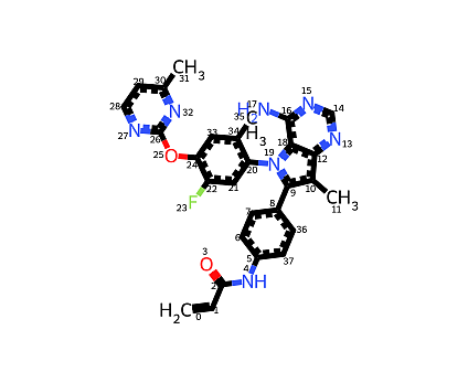 C=CC(=O)Nc1ccc(-c2c(C)c3ncnc(N)c3n2-c2cc(F)c(Oc3nccc(C)n3)cc2C)cc1